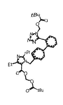 CCCc1nc(CC)c(C(=O)OCOC(=O)C(C)(C)C)n1Cc1ccc(-c2ccccc2-c2nnnn2COC(=O)C(C)(C)C)cc1